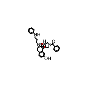 O=C(c1ccccc1)N1C[C@H]2CC34CCC1C2C31CCN(CCCNc2ccccc2)C4Cc2ccc(O)cc21